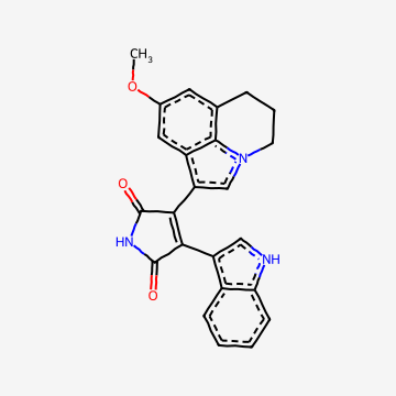 COc1cc2c3c(c1)c(C1=C(c4c[nH]c5ccccc45)C(=O)NC1=O)cn3CCC2